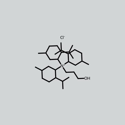 CC1CCC(C(C)C)C([N+](CCCO)(C2CC(C)CCC2C(C)C)C2CC(C)CCC2C(C)C)C1.[Cl-]